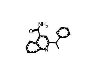 CC(c1ccccc1)c1cc(C(N)=O)c2ccccc2n1